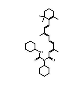 CC(C=CC1=C(C)CCCC1(C)C)=CC=CC(C)=CC(=O)N(C(=O)NC1CCCCC1)C1CCCCC1